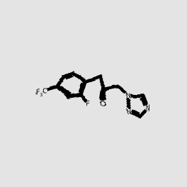 O=C(Cc1ccc(C(F)(F)F)cc1F)Cn1cncn1